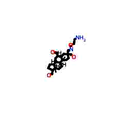 C[C@]12CCC(C=O)(C=NOCCN)C[C@@H]1C(C=O)C[C@@H]1[C@@H]2CC[C@]2(C)C(C=O)CC[C@@H]12